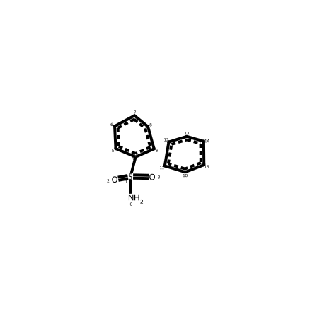 NS(=O)(=O)c1c[c]ccc1.[c]1ccccc1